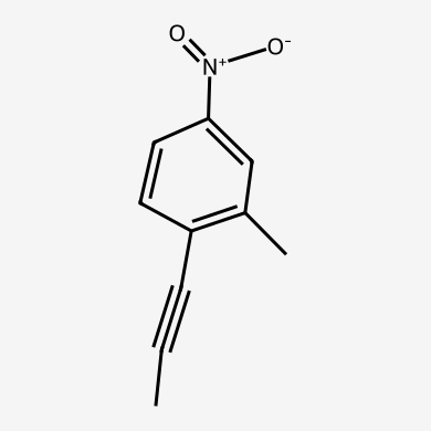 CC#Cc1ccc([N+](=O)[O-])cc1C